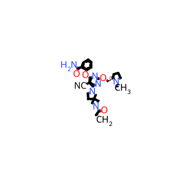 C=CC(=O)N1CC2(CCN(c3nc(OC[C@@H]4CCCN4C)nc(Oc4ccccc4C(N)=O)c3C#N)C2)C1